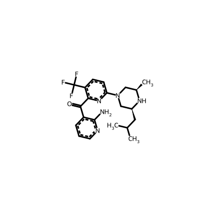 CC(C)C[C@H]1CN(c2ccc(C(F)(F)F)c(C(=O)c3cccnc3N)n2)C[C@@H](C)N1